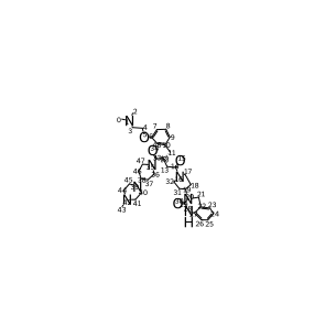 CN(C)CCOc1cccc(C[C@H](CC(=O)N2CCC(N3Cc4ccccc4NC3=O)CC2)C(=O)N2CCC(N3CCN(C)CC3)CC2)c1